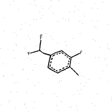 Cc1ccc(C(F)F)cc1F